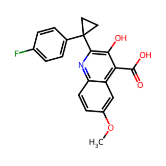 COc1ccc2nc(C3(c4ccc(F)cc4)CC3)c(O)c(C(=O)O)c2c1